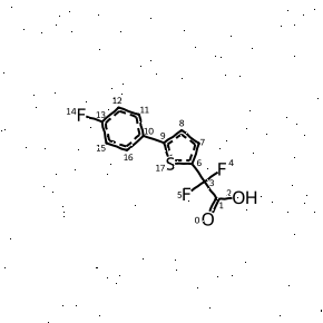 O=C(O)C(F)(F)c1ccc(-c2ccc(F)cc2)s1